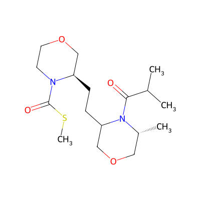 CSC(=O)N1CCOC[C@H]1CCC1COC[C@@H](C)N1C(=O)C(C)C